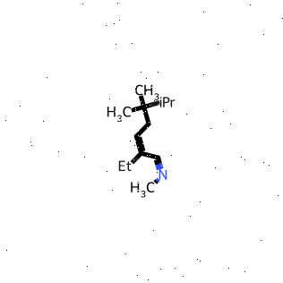 CCC(/C=N\C)=C/CC(C)(C)C(C)C